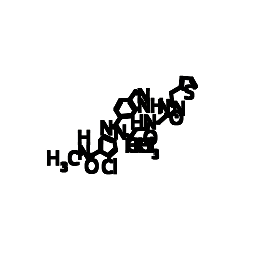 CNC(=O)c1cc2nc(-c3ccc4cn[nH]c4c3)n([C@@H](C)CC(=O)NCc3nc(Cc4cccs4)no3)c2cc1Cl.Cl